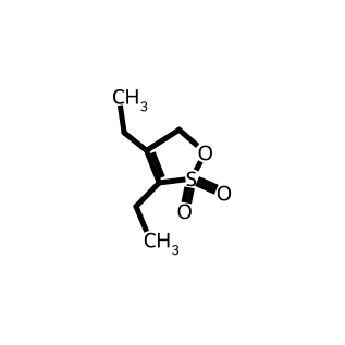 CCC1=C(CC)S(=O)(=O)OC1